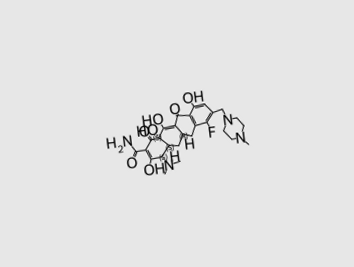 CN1CCN(Cc2cc(O)c3c(c2F)C[C@H]2C[C@H]4[C@H](N(C)C)C(O)=C(C(N)=O)C(=O)[C@@]4(O)C(O)=C2C3=O)CC1